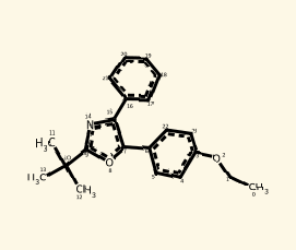 CCOc1ccc(-c2oc(C(C)(C)C)nc2-c2ccccc2)cc1